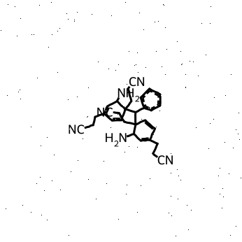 N#CCCC1=CC(N)C(CCC#N)(C(c2ccccc2)C2(CCC#N)C=CC(CCC#N)=CC2N)C=C1